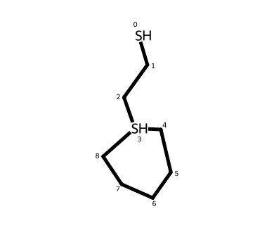 SCC[SH]1CCCCC1